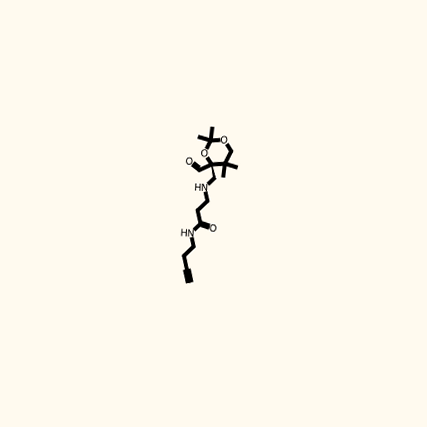 C#CCCNC(=O)CCNC[C@@]1(C=O)OC(C)(C)OCC1(C)C